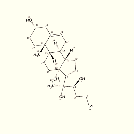 CC(C)CC[C@H](O)[C@@](C)(O)[C@H]1CC[C@H]2[C@@H]3CC=C4C[C@@H](O)CC[C@@]4(C)[C@H]3CC[C@]12C